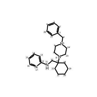 c1ccc(CN2CCN(C3(CNc4ccccn4)CCCCC3)CC2)cc1